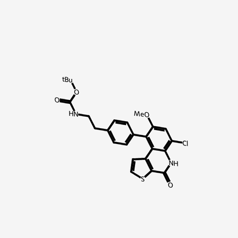 COc1cc(Cl)c2[nH]c(=O)c3sccc3c2c1-c1ccc(CCNC(=O)OC(C)(C)C)cc1